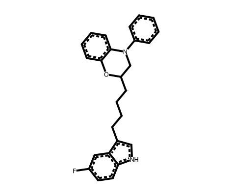 Fc1ccc2[nH]cc(CCC[CH]C3CN(c4ccccc4)c4ccccc4O3)c2c1